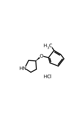 Cc1ccccc1O[C@H]1CCNC1.Cl